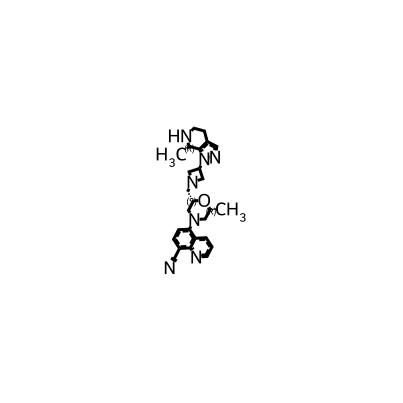 C[C@@H]1CN(c2ccc(C#N)c3ncccc23)C[C@H](CN2CC(n3ncc4c3[C@@H](C)NCC4)C2)O1